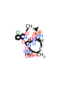 CCCOc1cc2c(Cl)cccc2c(O[C@@H]2C[C@H]3C(=O)N[C@]4(C(=O)NS(=O)(=O)C5CC5)C[C@H]4C=CCC[C@@H](C)C[C@@H](C)[C@H](NC(=O)O)C(=O)N3C2)n1